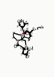 COC1=CC(C)C(C23Cn4[nH]c(=O)cc4C(=O)N2CCN3C(=O)c2conc2C)C=C1